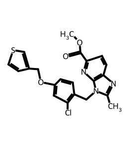 COC(=O)c1ccc2nc(C)n(Cc3ccc(OCc4ccsc4)cc3Cl)c2n1